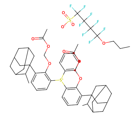 CC(=O)OCOc1c([S+](c2ccccc2)c2cccc(C34CC5CC(CC(C5)C3C)C4)c2OCOC(C)=O)cccc1C12CC3CC(CC(C3)C1C)C2.CCCOC(F)(F)C(F)(F)C(F)(F)C(F)(F)S(=O)(=O)[O-]